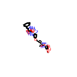 COc1cc(NC(=O)C(OC(C)C)[C@H](N)CC2CCCC(CCOc3cccc(NC(=O)C(OC)[C@H](N)CC4CCCCC4)c3)C2)cc(OC)c1OC